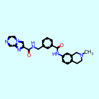 CN1CCc2ccc(NC(=O)c3cccc(CNC(=O)c4cn5ccncc5n4)c3)cc2C1